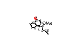 COC1=CC(=O)c2ccccc2C1(C)CCC1CC1